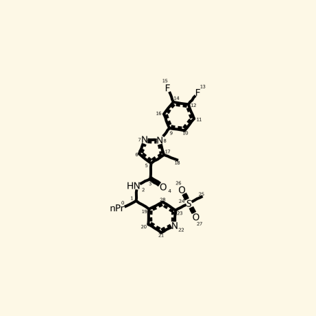 CCCC(NC(=O)c1cnn(-c2ccc(F)c(F)c2)c1C)c1ccnc(S(C)(=O)=O)c1